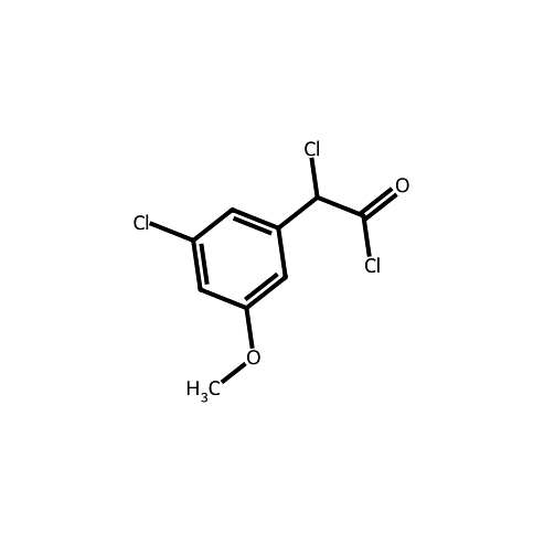 COc1cc(Cl)cc(C(Cl)C(=O)Cl)c1